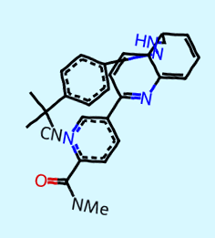 CNC(=O)c1ccc(C2=NC3=CC=CC4CNN(c5ccc(C(C)(C)C#N)cc5)C34C=C2)cn1